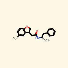 O=C(CC1COc2ccc([N+](=O)[O-])cc21)N[C@@H](Cc1ccccc1)C(=O)O